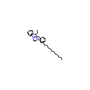 CCCCCCCCCCCCCCN1C=CN(C(C)C)C1(Cc1ccccc1)C(CC)c1ccccc1